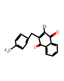 CCC1=C(Cc2ccc(C(F)(F)F)cc2)C(=O)c2ccccc2C1=O